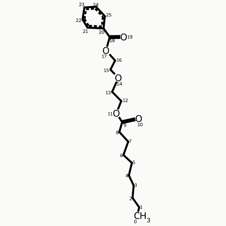 CCCCCCCCCC(=O)OCCOCCOC(=O)c1ccccc1